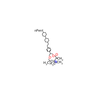 C=C(C)COCC(COC(=O)C(=C)CN(C)C)c1ccc(CCC2CCC(C3CCC(CCCCC)CC3)CC2)cc1